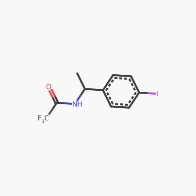 CC(NC(=O)C(F)(F)F)c1ccc(I)cc1